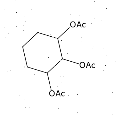 CC(=O)OC1[CH]CCC(OC(C)=O)C1OC(C)=O